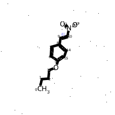 CCCCOc1ccc(/C=C/[N+](=O)[O-])cc1